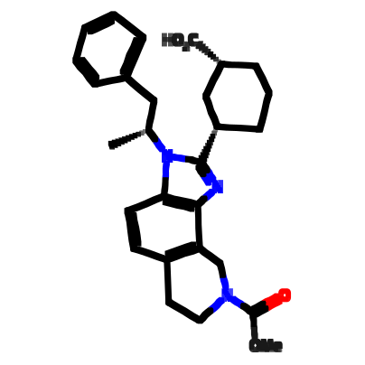 COC(=O)N1CCc2ccc3c(nc([C@H]4CCC[C@@H](C(=O)O)C4)n3[C@H](C)Cc3ccccc3)c2C1